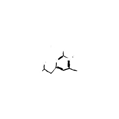 Cc1cc(CC(C)C)nc(O)[n+]1[O-].Cl